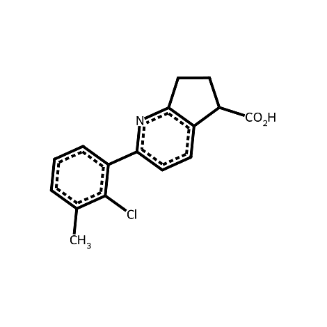 Cc1cccc(-c2ccc3c(n2)CCC3C(=O)O)c1Cl